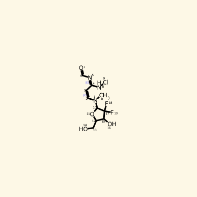 CN(/C=C\C(=N/C=O)NCl)C1OC(CO)C(O)C1(F)F